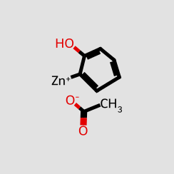 CC(=O)[O-].Oc1cccc[c]1[Zn+]